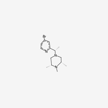 C[C@@H]1CN([C@@H](C)c2cc(Br)ccn2)C[C@H](C)N1C